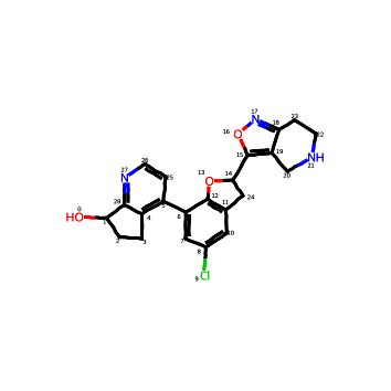 OC1CCc2c(-c3cc(Cl)cc4c3OC(c3onc5c3CNCC5)C4)ccnc21